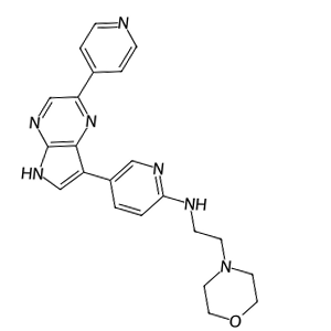 c1cc(-c2cnc3[nH]cc(-c4ccc(NCCN5CCOCC5)nc4)c3n2)ccn1